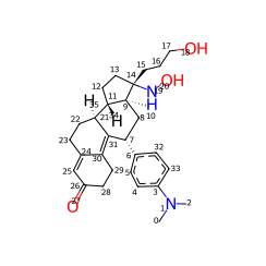 CN(C)c1ccc([C@H]2C[C@@]3(C)[C@@H](CC[C@]3(CCCO)NO)[C@@H]3CCC4=CC(=O)CCC4=C32)cc1